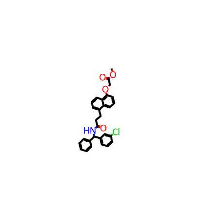 COC(=O)COc1cccc2c(CCC(=O)NC(c3ccccc3)c3cccc(Cl)c3)cccc12